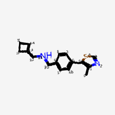 Cc1ncsc1-c1ccc(CNCC2CCC2)cc1